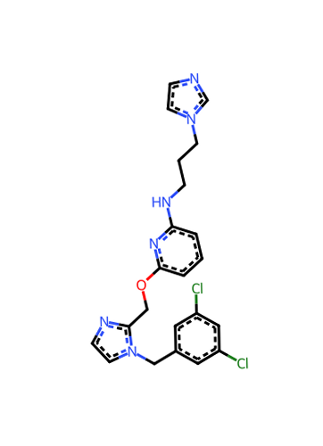 Clc1cc(Cl)cc(Cn2ccnc2COc2cccc(NCCCn3ccnc3)n2)c1